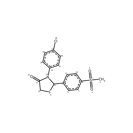 CS(=O)(=O)c1ccc(C2SCC(=O)N2c2ccc(Cl)cc2)cc1